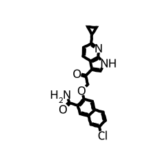 NC(=O)c1cc2cc(Cl)ccc2cc1OCC(=O)c1c[nH]c2nc(C3CC3)ccc12